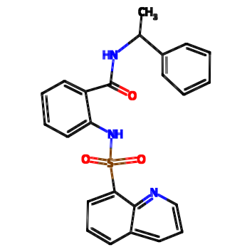 CC(NC(=O)c1ccccc1NS(=O)(=O)c1cccc2cccnc12)c1ccccc1